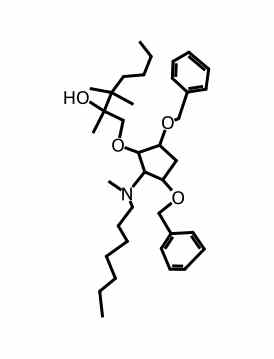 CCCCCCCN(C)C1C(OCc2ccccc2)CC(OCc2ccccc2)C1OCC(C)(O)C(C)(C)CCCC